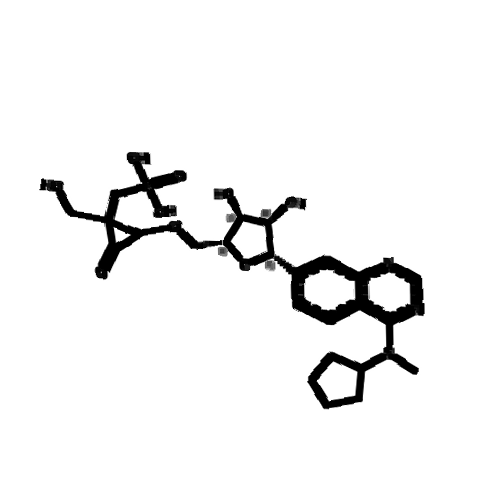 CN(c1ncnc2cc([C@@H]3O[C@H](COC4C(=O)C4(CO)CP(=O)(O)O)[C@@H](O)[C@H]3O)ccc12)C1CCCC1